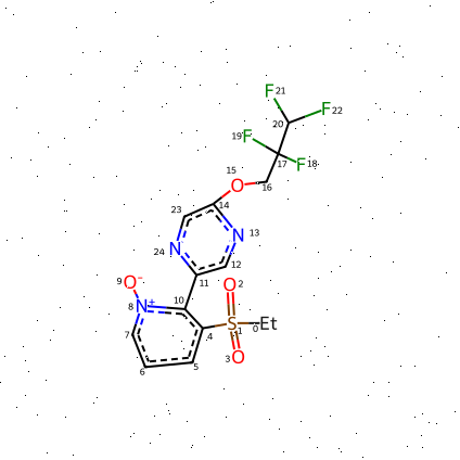 CCS(=O)(=O)c1ccc[n+]([O-])c1-c1cnc(OCC(F)(F)C(F)F)cn1